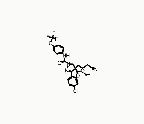 CCOC(=O)C1(CCCC#N)CN(C(=O)Nc2ccc(OC(F)(F)F)cc2)N=C1c1ccc(Cl)cc1